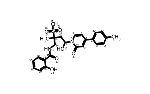 Cc1ccc(-c2ccn(C(O)CC(C)(CNC(=O)c3ccccc3O)S(C)(=O)=O)c(=O)c2)cc1